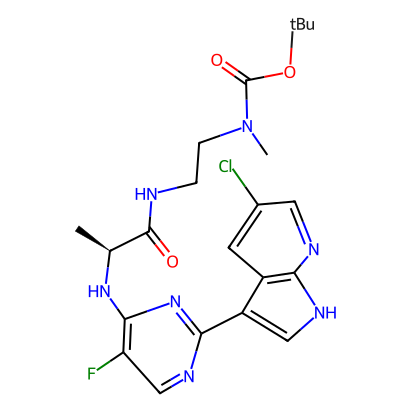 C[C@H](Nc1nc(-c2c[nH]c3ncc(Cl)cc23)ncc1F)C(=O)NCCN(C)C(=O)OC(C)(C)C